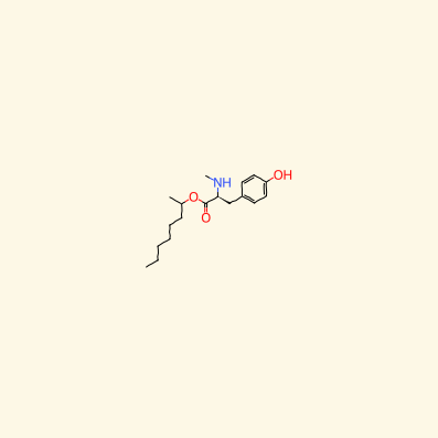 CCCCCCC(C)OC(=O)[C@H](Cc1ccc(O)cc1)NC